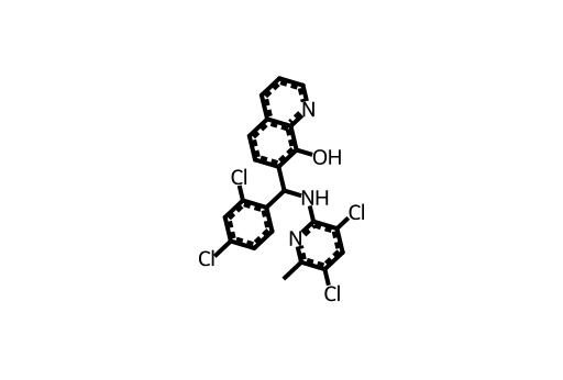 Cc1nc(NC(c2ccc(Cl)cc2Cl)c2ccc3cccnc3c2O)c(Cl)cc1Cl